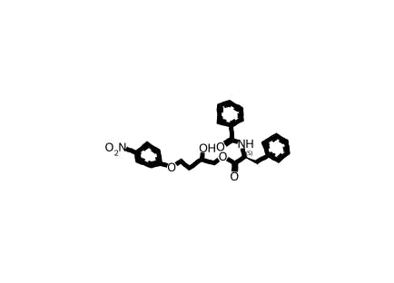 O=C(N[C@@H](Cc1ccccc1)C(=O)OCC(O)CCOc1ccc([N+](=O)[O-])cc1)c1ccccc1